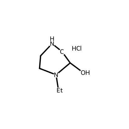 CCN1CCNCC1O.Cl